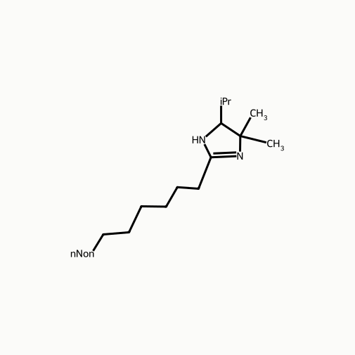 CCCCCCCCCCCCCCCC1=NC(C)(C)C(C(C)C)N1